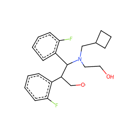 [O]CC(c1ccccc1F)C(c1ccccc1F)N(CCO)CC1CCC1